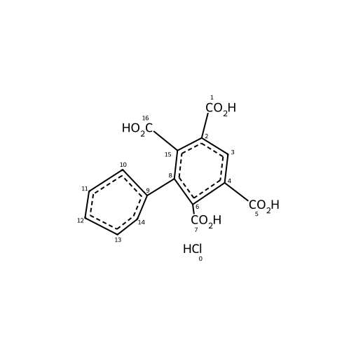 Cl.O=C(O)c1cc(C(=O)O)c(C(=O)O)c(-c2ccccc2)c1C(=O)O